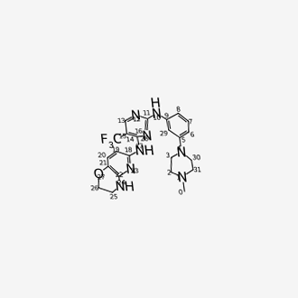 CN1CCN(c2cccc(Nc3ncc(C(F)(F)F)c(Nc4ccc5c(n4)NCCO5)n3)c2)CC1